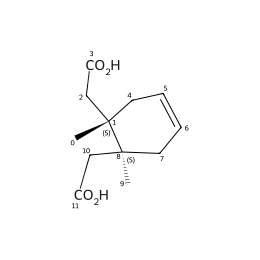 C[C@@]1(CC(=O)O)CC=CC[C@@]1(C)CC(=O)O